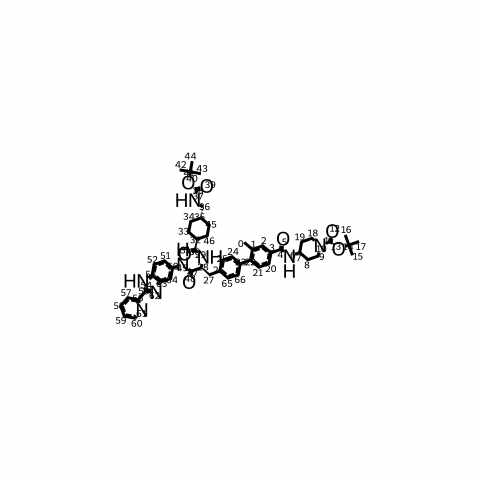 Cc1cc(C(=O)NC2CCN(C(=O)OC(C)(C)C)CC2)ccc1-c1ccc(C[C@H](NC(=O)[C@H]2CC[C@H](CNC(=O)OC(C)(C)C)CC2)C(=O)Nc2ccc3[nH]c(-c4ccccn4)nc3c2)cc1